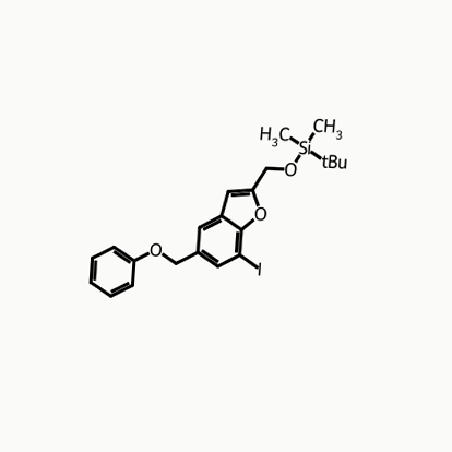 CC(C)(C)[Si](C)(C)OCc1cc2cc(COc3ccccc3)cc(I)c2o1